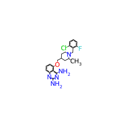 CC1CC(COc2cccc3nc(N)nc(N)c23)CCN1Cc1c(F)cccc1Cl